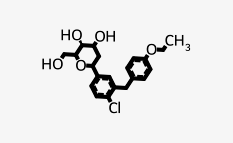 CCOc1ccc(Cc2cc(C3CC(O)[C@H](O)C(CO)O3)ccc2Cl)cc1